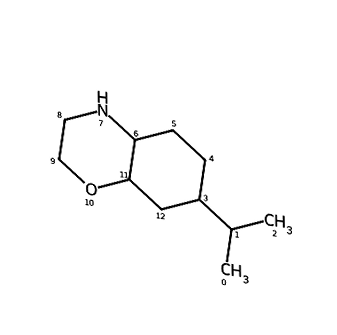 CC(C)C1CCC2NCCOC2C1